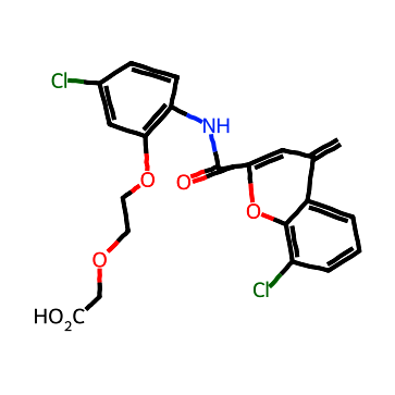 C=C1C=C(C(=O)Nc2ccc(Cl)cc2OCCOCC(=O)O)Oc2c(Cl)cccc21